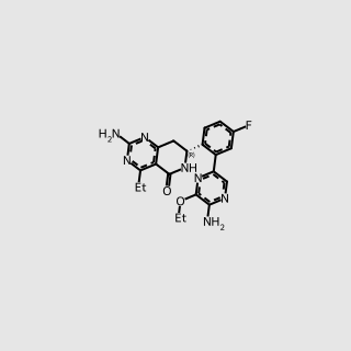 CCOc1nc(-c2cc(F)ccc2[C@H]2Cc3nc(N)nc(CC)c3C(=O)N2)cnc1N